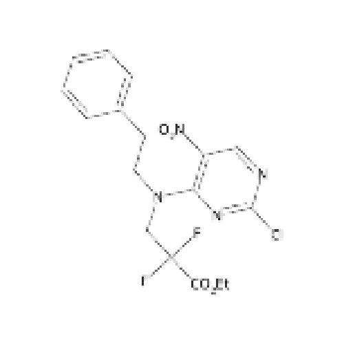 CCOC(=O)C(F)(F)CN(CCc1ccccc1)c1nc(Cl)ncc1[N+](=O)[O-]